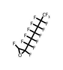 FC1OC1(F)C(F)(F)C(F)(F)C(F)(F)C(F)(F)C(F)(F)C(F)(F)F